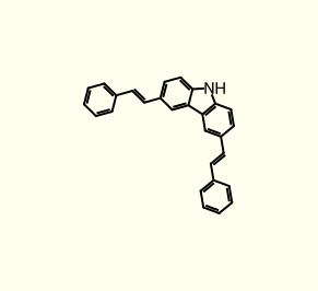 C(=Cc1ccc2[nH]c3ccc(C=Cc4ccccc4)cc3c2c1)c1ccccc1